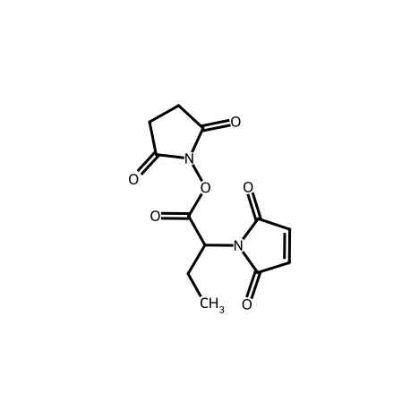 CCC(C(=O)ON1C(=O)CCC1=O)N1C(=O)C=CC1=O